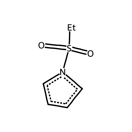 CCS(=O)(=O)n1cccc1